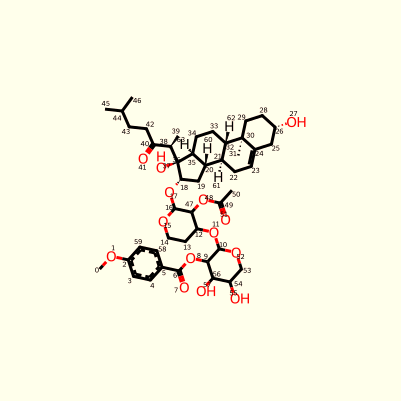 COc1ccc(C(=O)OC2C(OC3CCOC(O[C@H]4C[C@H]5[C@@H]6CC=C7C[C@@H](O)CC[C@]7(C)[C@H]6CC[C@@H]5[C@@]4(O)[C@H](C)C(=O)CCC(C)C)C3OC(C)=O)OCC(O)C2O)cc1